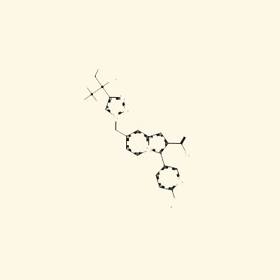 CCC(O)(c1cn(Cc2ccn3c(-c4ccc(OC)nc4)c(C(N)=O)cc3c2)nn1)C(F)(F)F